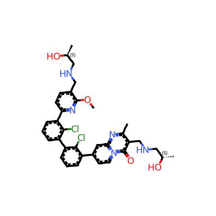 COc1nc(-c2cccc(-c3cccc(-c4ccn5c(=O)c(CNC[C@H](C)O)c(C)nc5c4)c3Cl)c2Cl)ccc1CNC[C@H](C)O